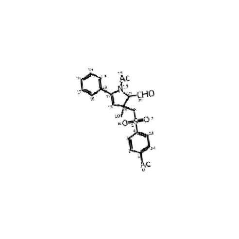 CC(=O)c1ccc(S(=O)(=O)CC2(C)C=C(c3ccccc3)N(C(C)=O)C2C=O)cc1